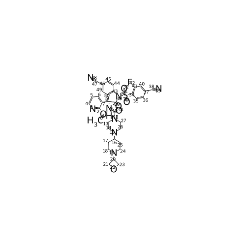 COc1ncccc1[C@]1(NC(=O)N2CCN(C3CCN(C4COC4)CC3)CC2)C(=O)N(S(=O)(=O)c2ccc(C#N)cc2F)c2ccc(C#N)cc21